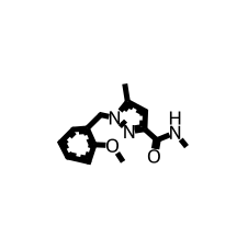 CNC(=O)c1cc(C)n(Cc2ccccc2OC)n1